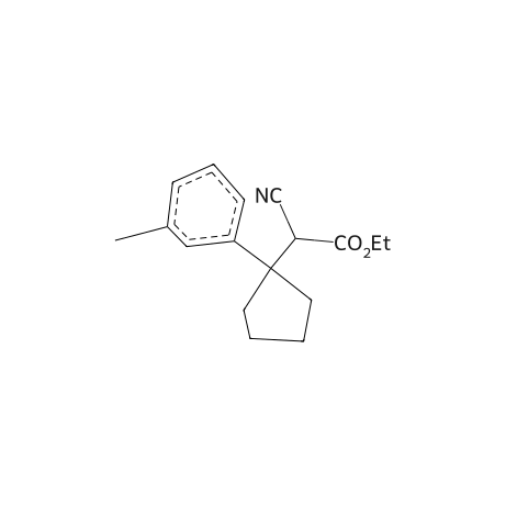 CCOC(=O)C(C#N)C1(c2cccc(C)c2)CCCC1